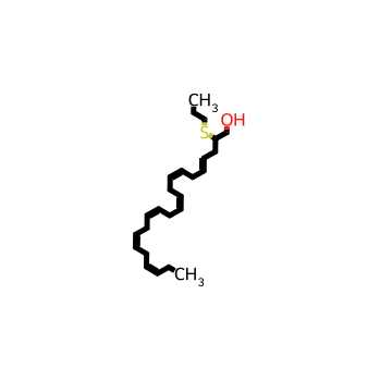 CC/C=C\C/C=C\C/C=C\C/C=C\C/C=C\C/C=C/CC(CO)SCCC